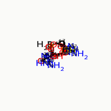 BP1(=O)OCC23CCC(C(n4cnc5c(N)ncnc54)O2)C3O[P@](=O)(S)OCC2OC(n3cnc4c(=O)[nH]c(N)nc43)C(O1)C2O